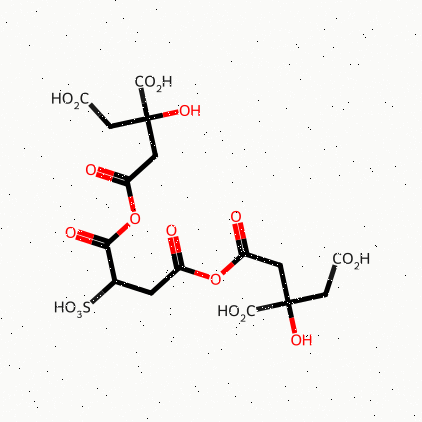 O=C(O)CC(O)(CC(=O)OC(=O)CC(C(=O)OC(=O)CC(O)(CC(=O)O)C(=O)O)S(=O)(=O)O)C(=O)O